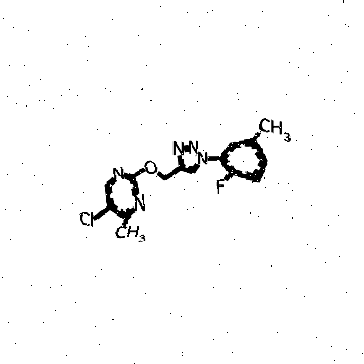 Cc1ccc(F)c(-n2cc(COc3ncc(Cl)c(C)n3)nn2)c1